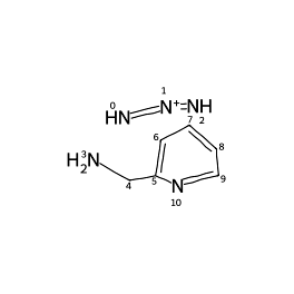 N=[N+]=N.NCc1ccccn1